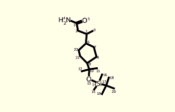 CC(CC(N)=O)C1CCC(C(C)(C)O[Si](C)(C)C(C)(C)C)CC1